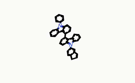 C1=Cc2cc(-n3c4ccccc4c4c(-c5cccc6c5c5ccccc5n6-c5ccccc5)cccc43)ccc2C1